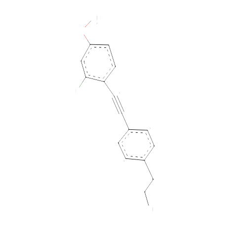 CCCc1ccc(C#Cc2ccc(OC)cc2F)cc1